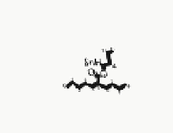 CCCCC=C(CCCC)C(=O)OCCCC.[SnH4]